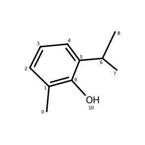 Cc1cccc(C(C)C)c1O